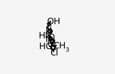 Cc1cc(Cl)cc(O)c1-c1ccc2oc(N[C@@H]3CCCN(CC4CC(O)C4)C3)nc2n1